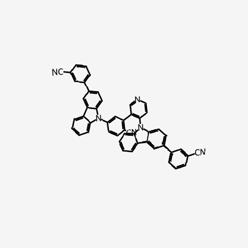 N#Cc1cccc(-c2ccc3c(c2)c2ccccc2n3-c2ccc(C#N)c(-c3cnccc3-n3c4ccccc4c4cc(-c5cccc(C#N)c5)ccc43)c2)c1